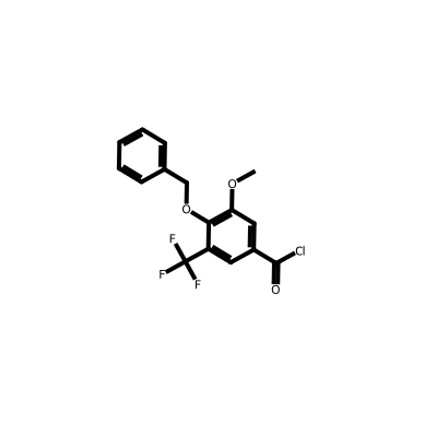 COc1cc(C(=O)Cl)cc(C(F)(F)F)c1OCc1ccccc1